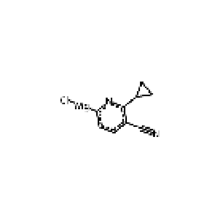 N#Cc1cc[c]([Mg][Cl])nc1C1CC1